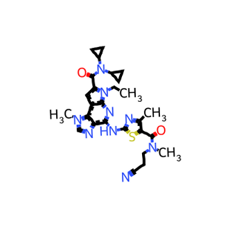 CCn1c(C(=O)N(C2CC2)C2CC2)cc2c3c(ncn3C)c(Nc3nc(C)c(C(=O)N(C)CCC#N)s3)nc21